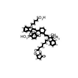 CC1(C)/C(=C\C=C2/CCCC(/C=C/C3N(CCCCCC(=O)ON4C(=O)CCC4=O)c4ccccc4C3(C)C)=C2Oc2ccc(S(=O)(=O)O)cc2)N(CCCCS(=O)(=O)O)c2ccccc21